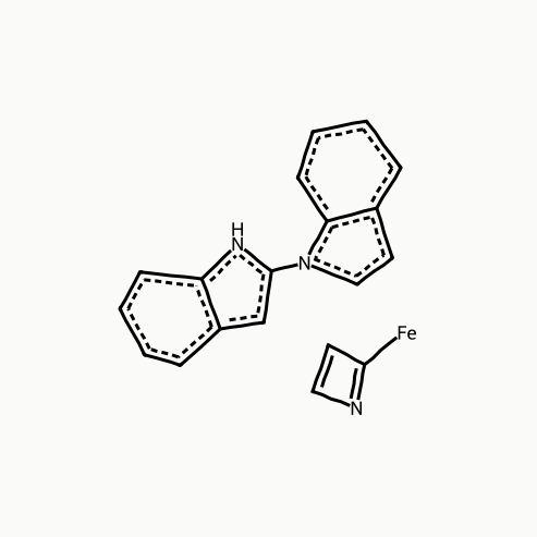 [Fe][C]1=NC=C1.c1ccc2[nH]c(-n3ccc4ccccc43)cc2c1